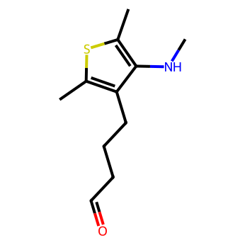 CNc1c(C)sc(C)c1CCCC=O